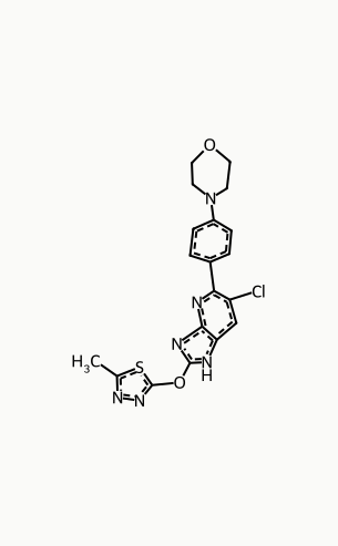 Cc1nnc(Oc2nc3nc(-c4ccc(N5CCOCC5)cc4)c(Cl)cc3[nH]2)s1